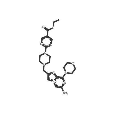 Bc1cn2cc(CN3CCN(c4ncc(C(=O)OCC)cn4)CC3)nc2c(N2CCOCC2)n1